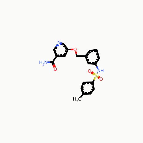 Cc1ccc(S(=O)(=O)Nc2cccc(COc3cncc(C(N)=O)c3)c2)cc1